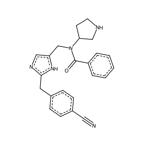 N#Cc1ccc(Cc2ncc(CN(C(=O)c3ccccc3)C3CCNC3)[nH]2)cc1